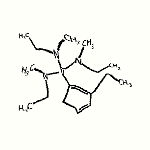 CCC1=[C]([Ti]([N](C)CC)([N](C)CC)[N](C)CC)CC=C1